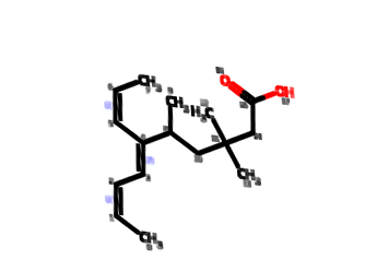 C\C=C/C=C(\C=C/C)C(C)CC(C)(C)CC(=O)O